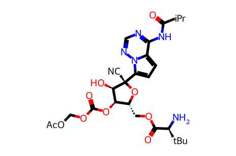 CC(=O)OCOC(=O)O[C@H]1[C@@H](O)[C@](C#N)(c2ccc3c(NC(=O)C(C)C)ncnn23)O[C@@H]1COC(=O)[C@@H](N)C(C)(C)C